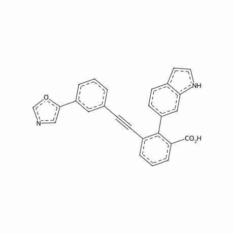 O=C(O)c1cccc(C#Cc2cccc(-c3cnco3)c2)c1-c1ccc2cc[nH]c2c1